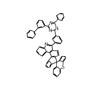 c1ccc(-c2cccc(-c3nc(-c4ccccc4)nc(-c4cccc(-c5nc6ccccc6c6c7c(ccc56)C5(c6ccccc6Sc6ccccc65)c5ccccc5-7)c4)n3)c2)cc1